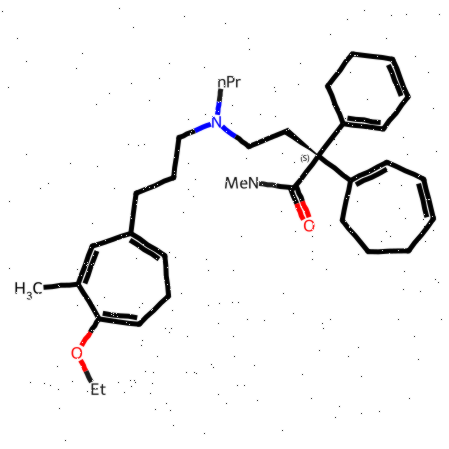 CCCN(CCCC1=CCC=C(OCC)C(C)=C1)CC[C@@](C(=O)NC)(C1=CC=CCC1)C1=CC=CCCC1